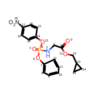 O=C(CNP(=O)(Oc1ccccc1)Oc1ccc([N+](=O)[O-])cc1)OCC1CC1